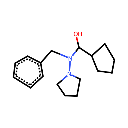 OC(C1CCCC1)N(Cc1ccccc1)N1CCCC1